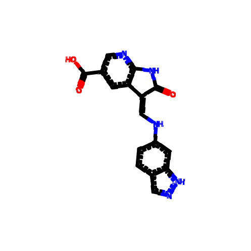 O=C1Nc2ncc(C(=O)O)cc2C1=CNc1ccc2cn[nH]c2c1